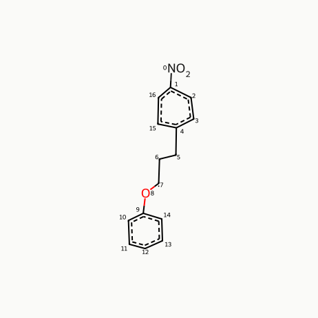 O=[N+]([O-])c1ccc(CC[CH]Oc2ccccc2)cc1